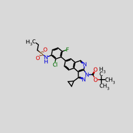 CCCS(=O)(=O)Nc1ccc(F)c(-c2ccc3c(cnc4c3c(C3CC3)nn4C(=O)OC(C)(C)C)c2)c1Cl